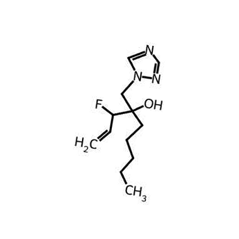 C=CC(F)C(O)(CCCCC)Cn1cncn1